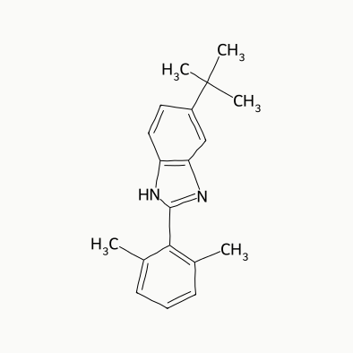 Cc1cccc(C)c1-c1nc2cc(C(C)(C)C)ccc2[nH]1